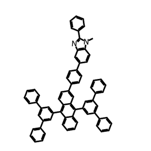 Cn1c(-c2ccccc2)nc2cc(-c3ccc(-c4ccc5c(-c6cc(-c7ccccc7)cc(-c7ccccc7)c6)c6ccccc6c(-c6cc(-c7ccccc7)cc(-c7ccccc7)c6)c5c4)cc3)ccc21